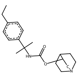 CCc1ccc(C(C)(C)NC(=O)OC2CN3CCC2CC3)cc1